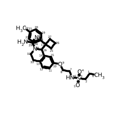 CCCS(=O)(=O)NCCOc1ccc2c(c1)C(C1(c3ccc(C)cc3)CCC1)N(C(=N)N)CC2